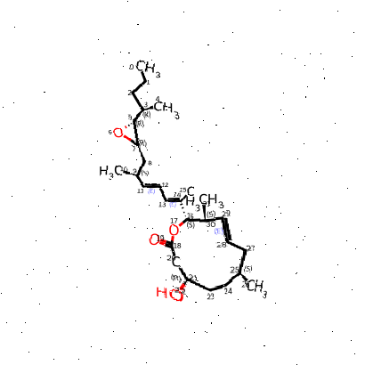 CCC[C@@H](C)[C@H]1O[C@@H]1C[C@H](C)/C=C/C=C(\C)[C@H]1OC(=O)C[C@H](O)CC[C@H](C)C/C=C/[C@@H]1C